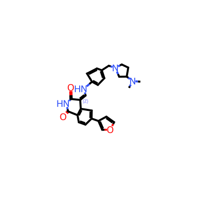 CN(C)C1CCN(Cc2ccc(N/C=C3\C(=O)NC(=O)c4ccc(-c5ccoc5)cc43)cc2)C1